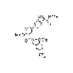 CNC(=O)c1n[nH]c2cc(-c3cnc(OC)c(C(=O)NCc4cc(C(F)(F)F)ccc4OC)c3)ccc12